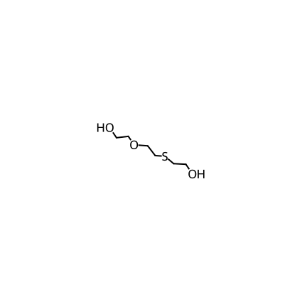 OCCOCCSCCO